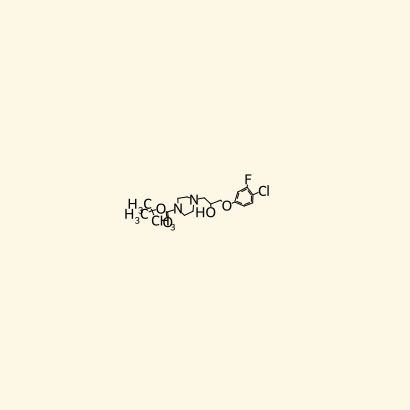 CC(C)(C)OC(=O)N1CCN(C[C@H](O)COc2ccc(Cl)c(F)c2)CC1